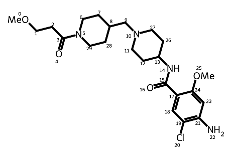 COCCC(=O)N1CCC(CN2CCC(NC(=O)c3cc(Cl)c(N)cc3OC)CC2)CC1